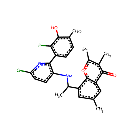 Cc1cc(C(C)Nc2ccc(Cl)nc2-c2ccc(C=O)c(O)c2F)c2oc(C(C)C)c(C)c(=O)c2c1